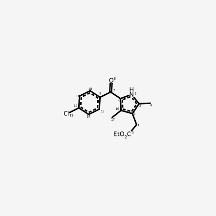 CCOC(=O)Cc1c(C)[nH]c(C(=O)c2ccc(Cl)cc2)c1C